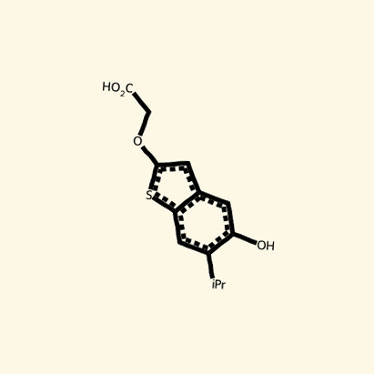 CC(C)c1cc2sc(OCC(=O)O)cc2cc1O